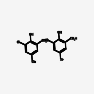 CC(C)(C)c1cc(Cl)c(O)c(C(=O)O)c1.CC(C)c1cc(Cl)c(O)c(C(=O)O)c1